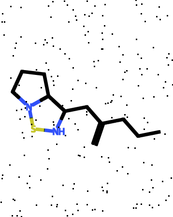 C=C(CCC)CC1NSN2CCCC12